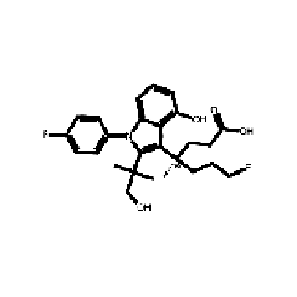 CC(C)(CO)c1c([C@](C)(CCCF)CCC(=O)O)c2c(O)cccc2n1-c1ccc(F)cc1